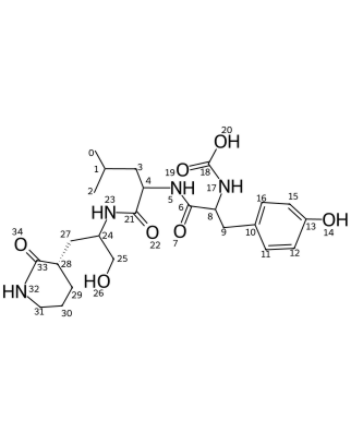 CC(C)CC(NC(=O)C(Cc1ccc(O)cc1)NC(=O)O)C(=O)NC(CO)C[C@@H]1CCCNC1=O